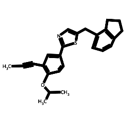 CC#Cc1cc(-c2ncc(Cc3cccc4c3CCC4)s2)ccc1OC(C)C